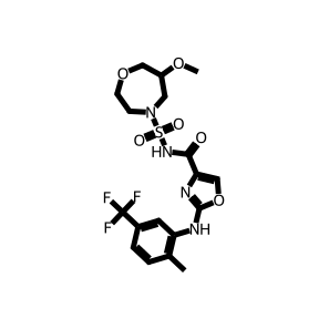 COC1COCCN(S(=O)(=O)NC(=O)c2coc(Nc3cc(C(F)(F)F)ccc3C)n2)C1